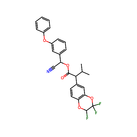 CC(C)C(C(=O)OC(C#N)c1cccc(Oc2ccccc2)c1)c1ccc2c(c1)OC(F)(F)C(F)O2